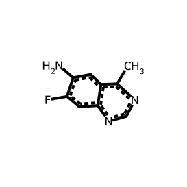 Cc1ncnc2cc(F)c(N)cc12